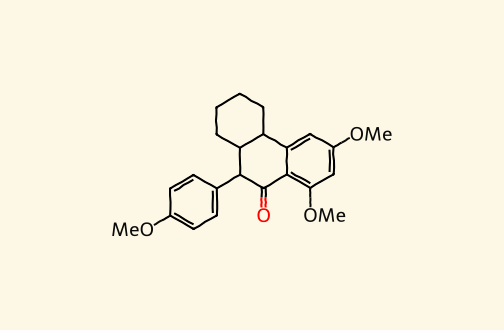 COc1ccc(C2C(=O)c3c(OC)cc(OC)cc3C3CCCCC32)cc1